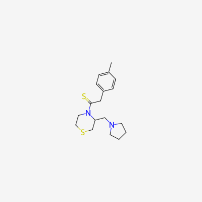 Cc1ccc(CC(=S)N2CCSCC2CN2CCCC2)cc1